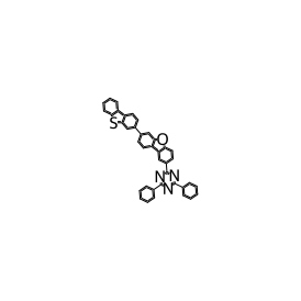 c1ccc(-c2nc(-c3ccccc3)nc(-c3ccc4oc5cc(-c6ccc7c(c6)sc6ccccc67)ccc5c4c3)n2)cc1